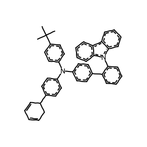 CC(C)(C)c1ccc(N(c2ccc(-c3ccccc3-n3c4ccccc4c4ccccc43)cc2)c2ccc(C3C=CC=CC3)cc2)cc1